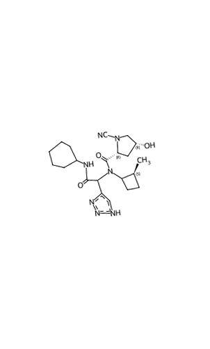 C[C@H]1CCC1N(C(=O)[C@H]1C[C@@H](O)CN1C#N)C(C(=O)NC1CCCCC1)c1c[nH]nn1